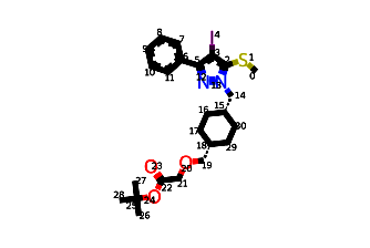 CSc1c(I)c(-c2ccccc2)nn1C[C@H]1CC[C@@H](COCC(=O)OC(C)(C)C)CC1